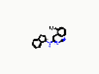 Cc1ccccc1C/C(=N\C#N)N[C@@H]1CCc2ccccc21